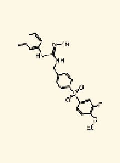 C=C/C=C(\C=C/C)N/C(=N/C#N)NCc1ccc(S(=O)(=O)c2ccc(OCC)c(F)c2)cc1